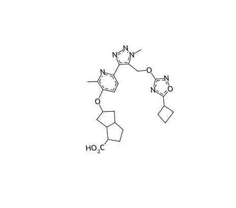 Cc1nc(-c2nnn(C)c2COc2noc(C3CCC3)n2)ccc1OC1CC2CCC(C(=O)O)C2C1